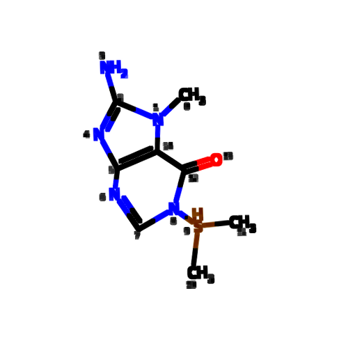 Cn1c(N)nc2ncn([SH](C)C)c(=O)c21